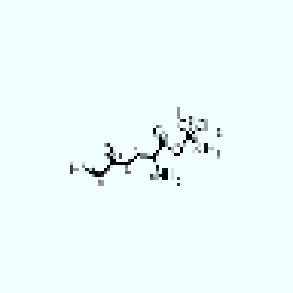 CC(C)(C)OC(=O)[C@@H](N)CCC(=O)C=N